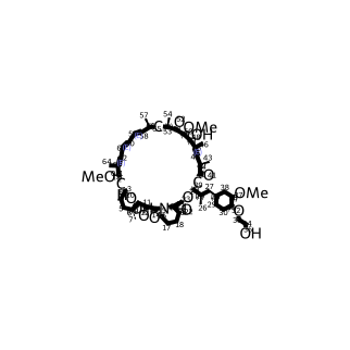 CO[C@H]1C[C@@H]2CC[C@@H](C)[C@@](O)(O2)C(=O)C(=O)N2CCCC[C@H]2C(=O)O[C@H]([C@H](C)C[C@@H]2CC[C@@H](OCCO)[C@H](OC)C2)CC(=O)[C@H](C)/C=C(\C)[C@H](O)[C@@H](OC)C(=O)[C@H](C)C[C@H](C)/C=C/C=C/C=C/1C